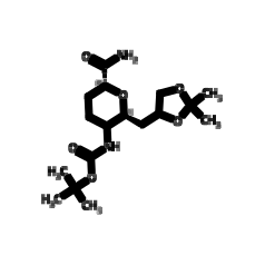 CC(C)(C)OC(=O)NC1CC[C@H](C(N)=O)O[C@H]1CC1COC(C)(C)O1